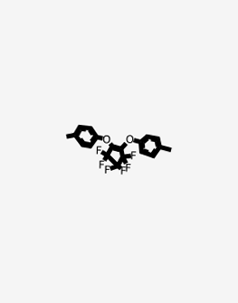 Cc1ccc(OC2=C(Oc3ccc(C)cc3)C(F)(F)C(F)(F)C2(F)F)cc1